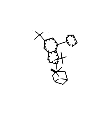 CC(C)(C)OC(=O)N1C2CC1CN(c1nc3cc(C(C)(C)O)cc(-c4nccs4)c3o1)C2